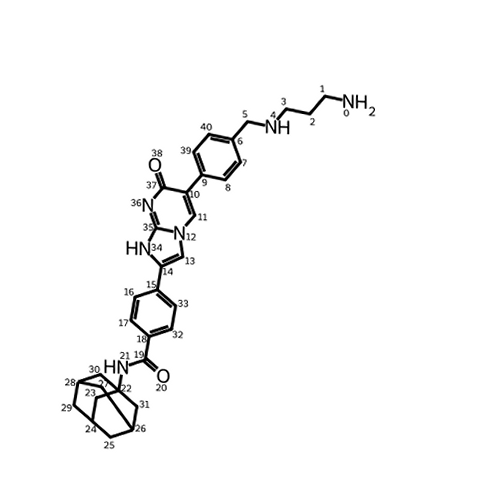 NCCCNCc1ccc(-c2cn3cc(-c4ccc(C(=O)NC56CC7CC(CC(C7)C5)C6)cc4)[nH]c3nc2=O)cc1